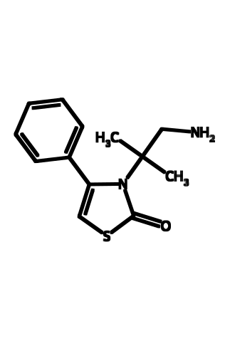 CC(C)(CN)n1c(-c2ccccc2)csc1=O